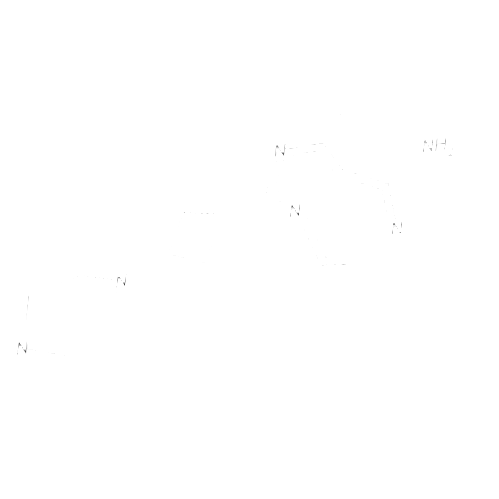 Cc1nc(C2CC(N3CCN(C)CC3)C2)n2ccnc(N)c12